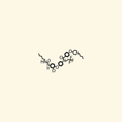 CCCCCNC(=O)Nc1ccc(Oc2ccc(N(CCC(F)(F)F)C(=O)c3ccc(OC4CCN(CCCC)CC4)cc3)cc2)c(OC)c1